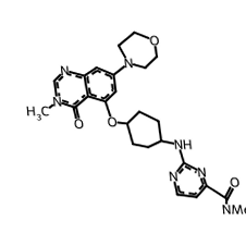 CNC(=O)c1ccnc(NC2CCC(Oc3cc(N4CCOCC4)cc4ncn(C)c(=O)c34)CC2)n1